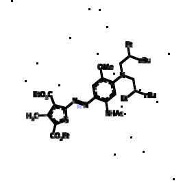 CCCCC(CC)CN(CC(CC)CCCC)c1cc(NC(C)=O)c(/N=N/c2sc(C(=O)OCC)c(C)c2C(=O)OCC)cc1OC